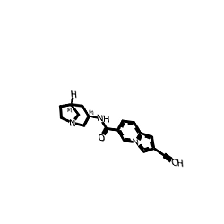 C#Cc1cc2ccc(C(=O)N[C@@H]3C[C@H]4CCN(C4)C3)cn2c1